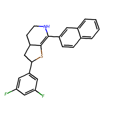 Fc1cc(F)cc(C2CC3CCNC(c4ccc5ccccc5c4)=C3S2)c1